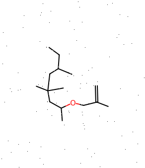 [CH2]CC(C)CC(C)(C)[CH]C(C)OCC(=C)C